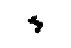 COC(=O)c1ccc(Cl)cc1Oc1ccc(-c2nnn(C)c2COC2CCCCO2)cc1